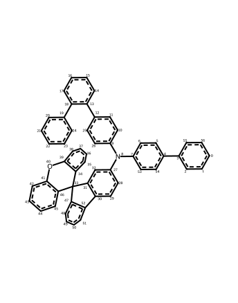 c1ccc(-c2ccc(N(c3ccc(-c4ccccc4-c4ccccc4)cc3)c3ccc4c(c3)C3(c5ccccc5Oc5ccccc53)c3ccccc3-4)cc2)cc1